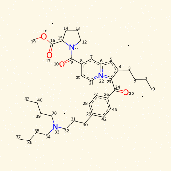 CCCCc1cc2cc(C(=O)N3CCCC3C(=O)OC)ccn2c1C(=O)c1ccc(CCCN(CCCC)CCCC)cc1